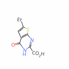 CCc1cc2c(=O)[nH]c(C(=O)O)nc2s1